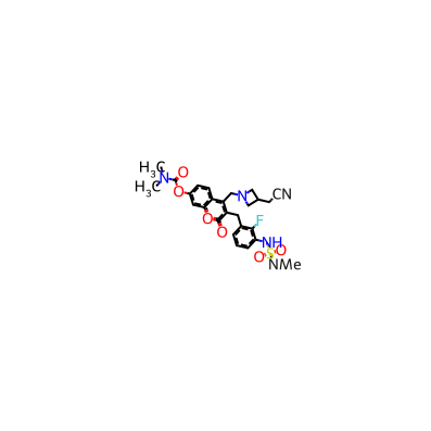 CNS(=O)(=O)Nc1cccc(Cc2c(CN3CC(CC#N)C3)c3ccc(OC(=O)N(C)C)cc3oc2=O)c1F